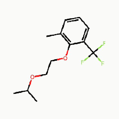 Cc1cccc(C(F)(F)F)c1OCCOC(C)C